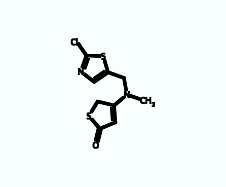 CN(Cc1cnc(Cl)s1)C1=CC(=O)SC1